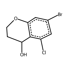 OC1CCOc2cc(Br)cc(Cl)c21